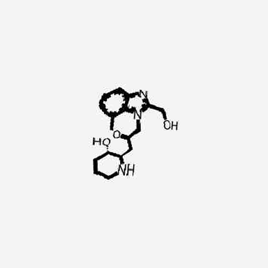 Cc1cccc2nc(CO)n(CC(=O)C[C@H]3NCCC[C@@H]3O)c12